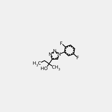 CCC(C)(O)c1cn(-c2cc(F)ccc2F)nn1